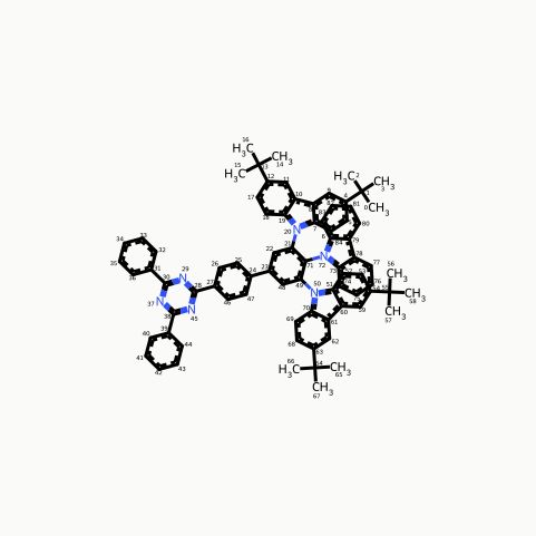 CC(C)(C)c1ccc2c(c1)c1cc(C(C)(C)C)ccc1n2-c1cc(-c2ccc(-c3nc(-c4ccccc4)nc(-c4ccccc4)n3)cc2)cc(-n2c3ccc(C(C)(C)C)cc3c3cc(C(C)(C)C)ccc32)c1-n1c2ccccc2c2ccccc21